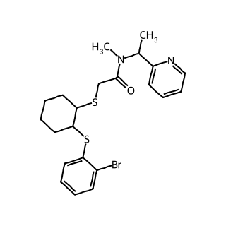 CC(c1ccccn1)N(C)C(=O)CSC1CCCCC1Sc1ccccc1Br